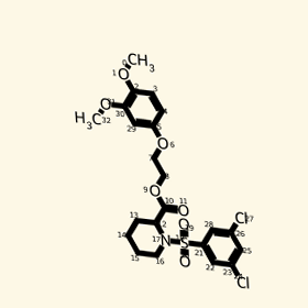 COc1ccc(OCCOC(=O)C2CCCCN2S(=O)(=O)c2cc(Cl)cc(Cl)c2)cc1OC